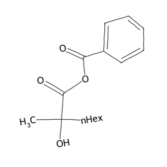 CCCCCCC(C)(O)C(=O)OC(=O)c1ccccc1